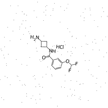 Cl.NC1CC(NC(=O)c2cccc(OC(F)F)c2)C1